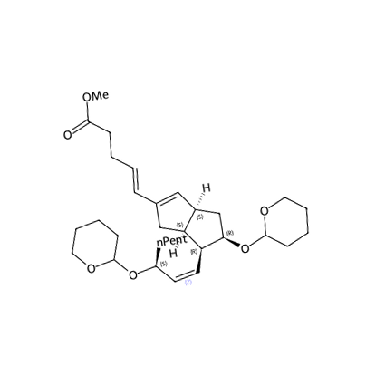 CCCCC[C@@H](/C=C\[C@H]1[C@H]2CC(C=CCCC(=O)OC)=C[C@H]2C[C@H]1OC1CCCCO1)OC1CCCCO1